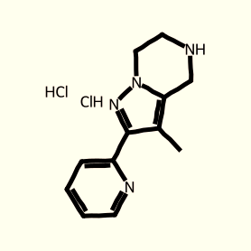 Cc1c(-c2ccccn2)nn2c1CNCC2.Cl.Cl